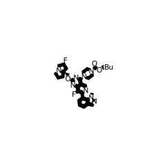 Cn1ncc2cccc(-c3ncc4c(N5CCN(C(=O)OC(C)(C)C)CC5)nc(OC[C@@]56CCCN5C[C@H](F)C6)nc4c3F)c21